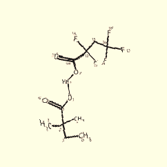 CCC(C)(C)C(=O)OBOC(=O)C(F)(F)CC(F)(F)F